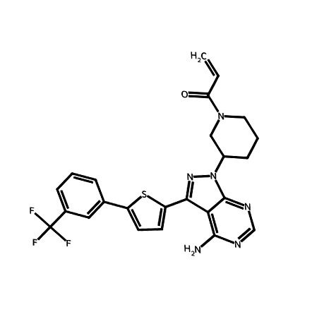 C=CC(=O)N1CCCC(n2nc(-c3ccc(-c4cccc(C(F)(F)F)c4)s3)c3c(N)ncnc32)C1